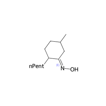 CCCCCC1CCC(C)C/C1=N\O